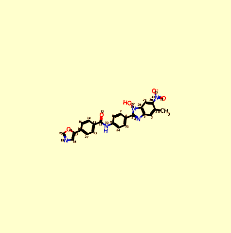 Cc1cc2nc(-c3ccc(NC(=O)c4ccc(-c5cnco5)cc4)cc3)n(O)c2cc1[N+](=O)[O-]